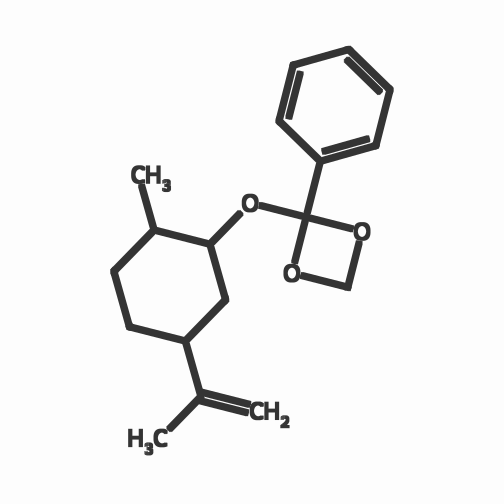 C=C(C)C1CCC(C)C(OC2(c3ccccc3)OCO2)C1